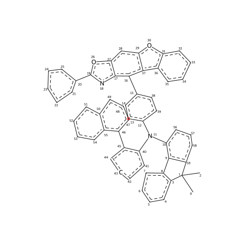 CC1(C)c2ccccc2-c2c(N(c3ccc(-c4c5nc(-c6ccccc6)oc5cc5oc6ccccc6c45)cc3)c3ccccc3-c3cccc4ccccc34)cccc21